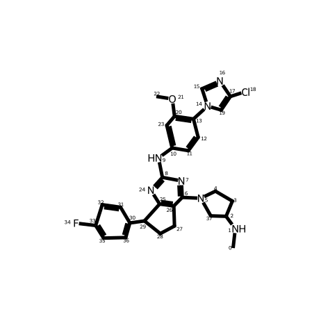 CNC1CCN(c2nc(Nc3ccc(-n4cnc(Cl)c4)c(OC)c3)nc3c2CCC3c2ccc(F)cc2)C1